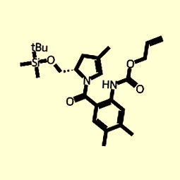 C=CCOC(=O)Nc1cc(C)c(C)cc1C(=O)N1C=C(C)C[C@H]1CO[Si](C)(C)C(C)(C)C